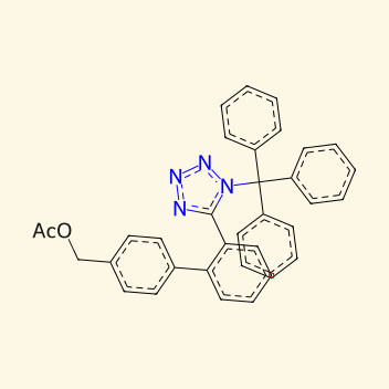 CC(=O)OCc1ccc(-c2ccccc2-c2nnnn2C(c2ccccc2)(c2ccccc2)c2ccccc2)cc1